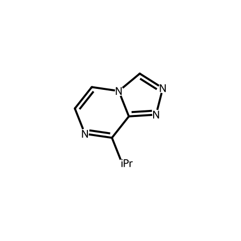 CC(C)c1nccn2cnnc12